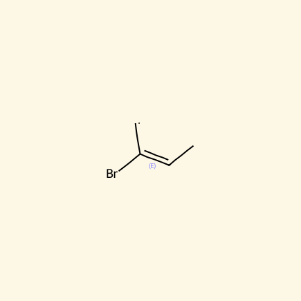 [CH2]/C(Br)=C\C